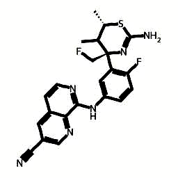 CC1[C@H](C)SC(N)=N[C@]1(CF)c1cc(Nc2nccc3cc(C#N)cnc23)ccc1F